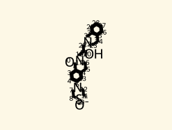 O=C1c2ccc(N3CC[S+]([O-])CC3)cc2CCN1C[C@H](O)CN1CCc2ccccc2C1